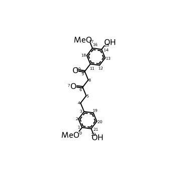 COc1cc(CCC(=O)CC(=O)c2ccc(O)c(OC)c2)ccc1O